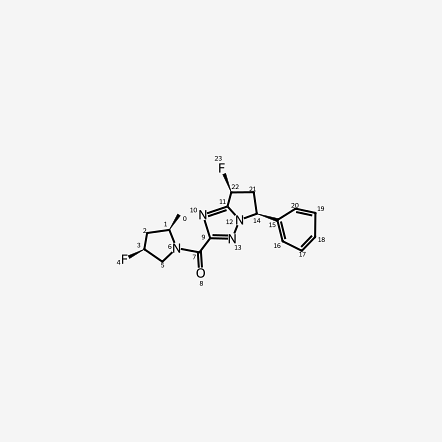 C[C@@H]1C[C@H](F)CN1C(=O)c1nc2n(n1)[C@H](c1ccccc1)C[C@@H]2F